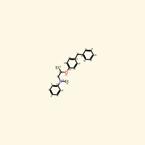 CCC(CN(CC)c1ccccc1)Oc1ccc(Cc2ccccc2)cc1